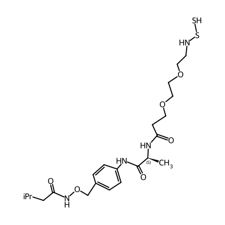 CC(C)CC(=O)NOCc1ccc(NC(=O)[C@H](C)NC(=O)CCOCCOCCNSS)cc1